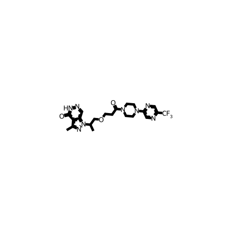 Cc1nn(C(C)COCCC(=O)N2CCN(c3cnc(C(F)(F)F)cn3)CC2)c2cn[nH]c(=O)c12